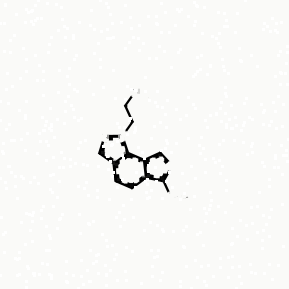 COc1scc2c1ccc1cnn(CCN)c12